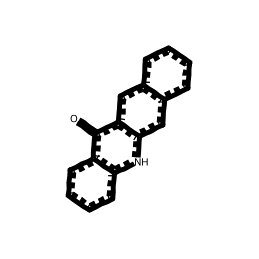 O=c1c2ccccc2[nH]c2cc3ccccc3cc12